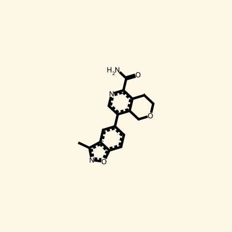 Cc1noc2ccc(-c3cnc(C(N)=O)c4c3COC[CH]4)cc12